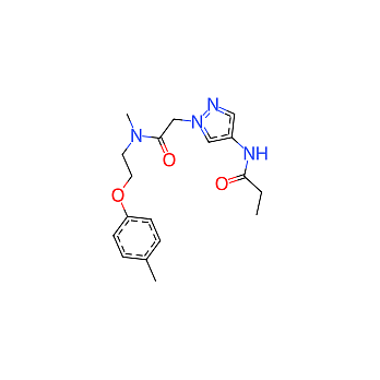 CCC(=O)Nc1cnn(CC(=O)N(C)CCOc2ccc(C)cc2)c1